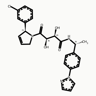 C[C@@H](NC(=O)[C@H](O)[C@@H](O)C(=O)N1CC=C[C@H]1c1cccc(Cl)c1)c1ccc(-n2cccn2)cc1